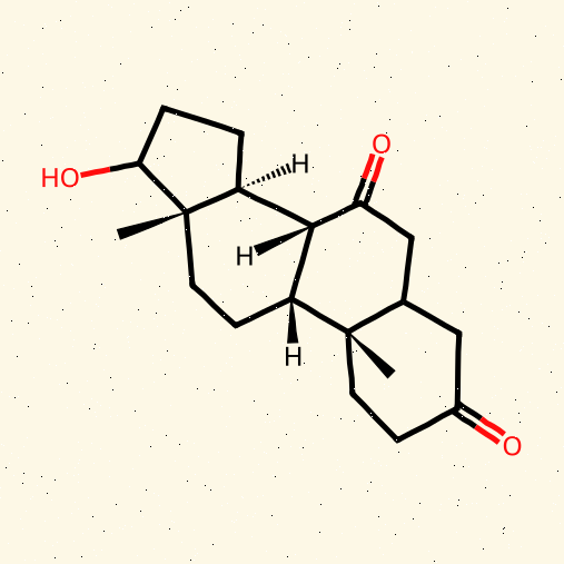 C[C@]12CCC(=O)CC1CC(=O)[C@@H]1[C@H]2CC[C@]2(C)C(O)CC[C@@H]12